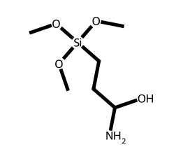 CO[Si](CCC(N)O)(OC)OC